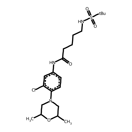 CC1CN(c2ccc(NC(=O)CCCCNS(=O)(=O)C(C)(C)C)cc2Cl)CC(C)O1